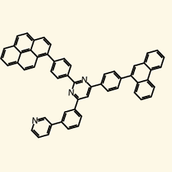 c1cncc(-c2cccc(-c3cc(-c4ccc(-c5cc6ccccc6c6ccccc56)cc4)nc(-c4ccc(-c5ccc6ccc7cccc8ccc5c6c78)cc4)n3)c2)c1